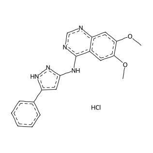 COc1cc2ncnc(Nc3cc(-c4ccccc4)[nH]n3)c2cc1OC.Cl